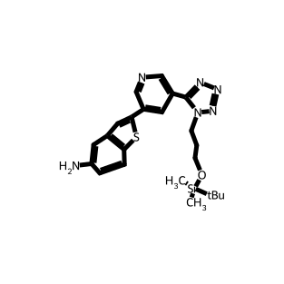 CC(C)(C)[Si](C)(C)OCCCn1nnnc1-c1cncc(-c2cc3cc(N)ccc3s2)c1